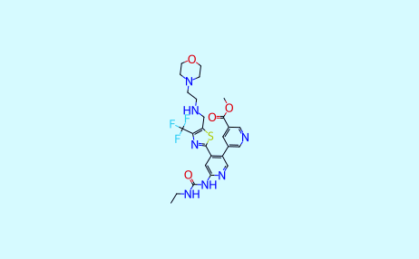 CCNC(=O)Nc1cc(-c2nc(C(F)(F)F)c(CNCCN3CCOCC3)s2)c(-c2cncc(C(=O)OC)c2)cn1